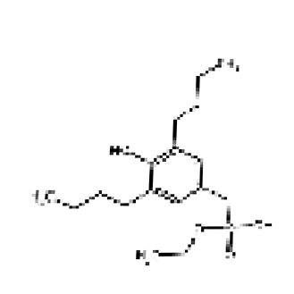 CCCCc1cc(CP(=O)(O)OCC)cc(CCCC)c1O